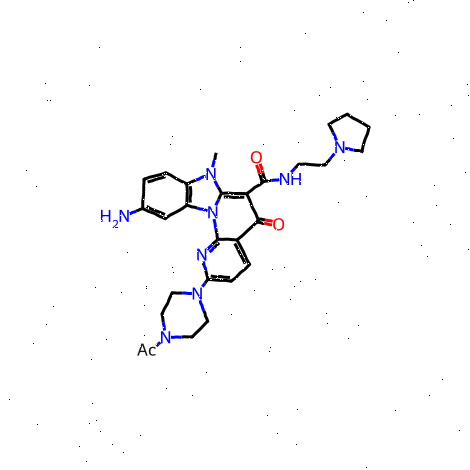 CC(=O)N1CCN(c2ccc3c(=O)c(C(=O)NCCN4CCCC4)c4n(C)c5ccc(N)cc5n4c3n2)CC1